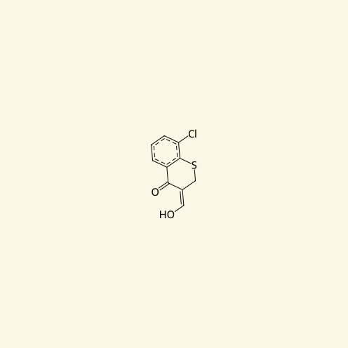 O=C1/C(=C\O)CSc2c(Cl)cccc21